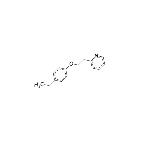 CCc1ccc(OCCc2ccccn2)cc1